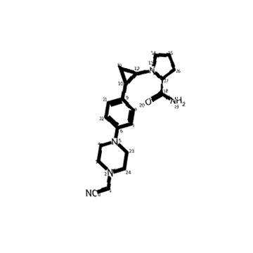 N#CCN1CCN(c2ccc(C3CC3N3CCC[C@H]3C(N)=O)cc2)CC1